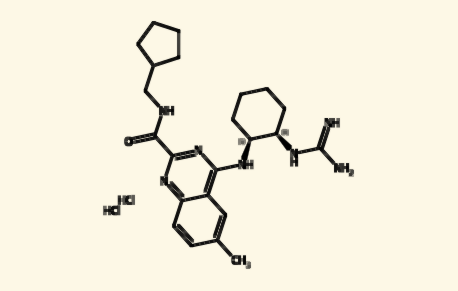 Cc1ccc2nc(C(=O)NCC3CCCC3)nc(N[C@H]3CCCC[C@H]3NC(=N)N)c2c1.Cl.Cl